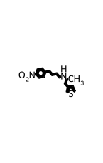 CC(Cc1ccsc1)NCCCCc1ccc([N+](=O)[O-])cc1